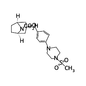 CS(=O)(=O)N1CCN(c2ccc(O[C@H]3C[C@H]4CC[C@@H](C3)N4C(=O)O)cc2)CC1